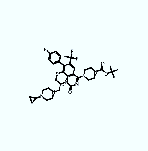 CC(C)(C)OC(=O)N1CCN(c2nc(=O)n3c4c(c(-c5ccc(F)cc5)c(C(F)(F)F)cc24)SC[C@@H]3CN2CCN(C3CC3)CC2)CC1